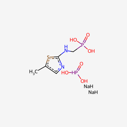 Cc1cnc(NCP(=O)(O)O)s1.O=[PH](O)O.[NaH].[NaH]